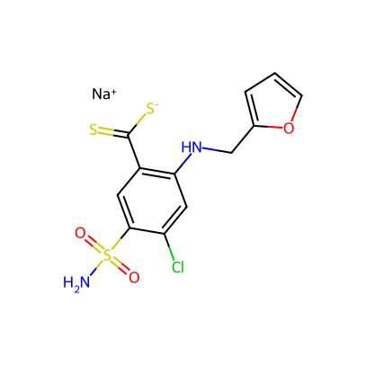 NS(=O)(=O)c1cc(C(=S)[S-])c(NCc2ccco2)cc1Cl.[Na+]